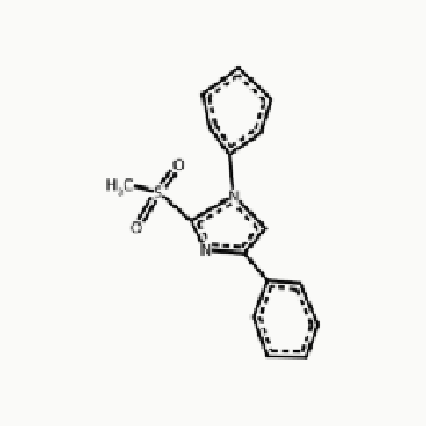 CS(=O)(=O)c1nc(-c2ccccc2)cn1-c1ccccc1